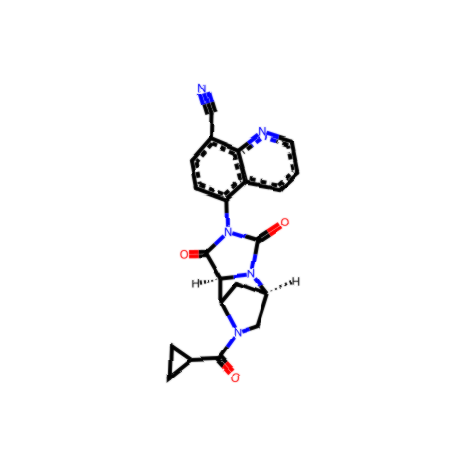 N#Cc1ccc(N2C(=O)[C@@H]3C4C[C@H](CN4C(=O)C4CC4)N3C2=O)c2cccnc12